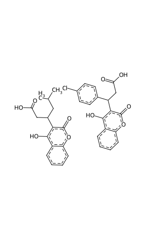 CC(C)CC(CC(=O)O)c1c(O)c2ccccc2oc1=O.O=C(O)CC(c1ccc(Cl)cc1)c1c(O)c2ccccc2oc1=O